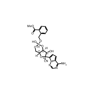 COC(=O)c1ccccc1CO[PH]1(O)OC[C@H]2O[C@@](C#N)(c3ccc4c(N)ncnn34)[C@H](O)[C@@H]2O1